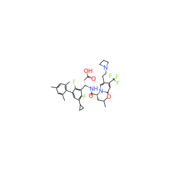 Cc1cc(C)c(-c2cc(C3CC3)c(F)c([C@H](CC(=O)O)NC(=O)[C@H](CC(C)C)n3cc(CCN4CCC4)c(C(F)(F)F)cc3=O)c2F)c(C)c1